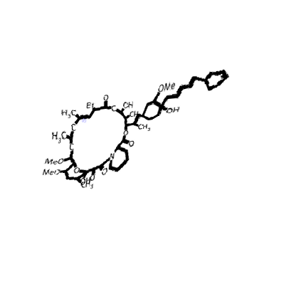 CCC1/C=C(\C)CC(C)CC(OC)C2OC(O)(C(=O)C(=O)N3CCCCC3C(=O)OC(C(C)=CC3CCC(O)(CC=CC=Cc4ccccc4)C(OC)C3)C(C)C(O)CC1=O)C(C)CC2OC